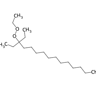 CCCCCCCCCCCCC(CC)(CC)OOCC